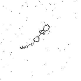 COCOc1ccc(-c2nc3c(C)cccc3o2)cc1